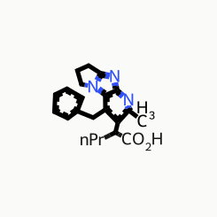 CCCC(C(=O)O)c1c(C)nc2nc3n(c2c1Cc1ccccc1)CCC3